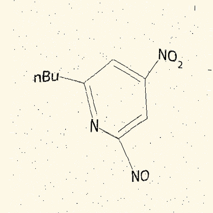 CCCCc1cc([N+](=O)[O-])cc(N=O)n1